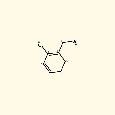 ClC1=C(CBr)[CH]CC=C1